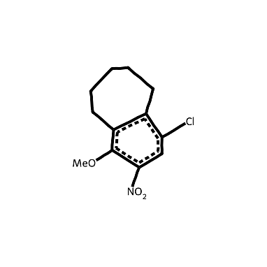 COc1c([N+](=O)[O-])cc(Cl)c2c1CCCCC2